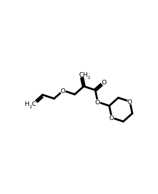 C=CCOCC(=C)C(=O)OC1COCCO1